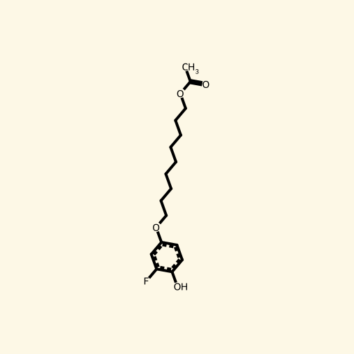 CC(=O)OCCCCCCCCCOc1ccc(O)c(F)c1